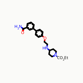 CCOC(=O)N1CCC(NCCOc2ccc(-c3cccc(C(N)=O)c3)cc2)CC1